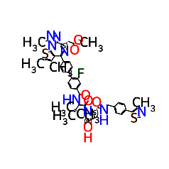 COC(=O)C[C@@H]1N=C(c2ccc(-c3ccc(C(=O)NC(C(=O)N4C[C@H](O)C[C@H]4C(=O)NCc4ccc(-c5scnc5C)cc4)C(C)(C)C)cc3F)cc2)c2c(sc(C)c2C)-n2c(C)nnc21